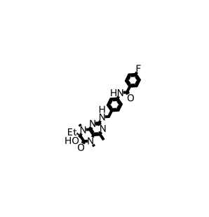 CC[C@]1(O)C(=O)N(C)c2c(C)nc(NCc3ccc(NC(=O)c4ccc(F)cc4)cc3)nc2N1C